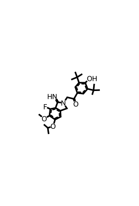 COc1c(OC(C)C)cc2c(c1F)C(=N)N(CC(=O)c1cc(C(C)(C)C)c(O)c(C(C)(C)C)c1)C2